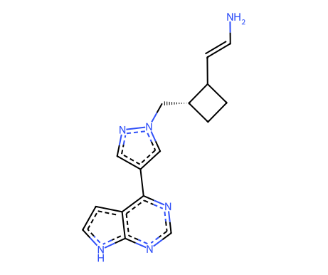 N/C=C/C1CC[C@@H]1Cn1cc(-c2ncnc3[nH]ccc23)cn1